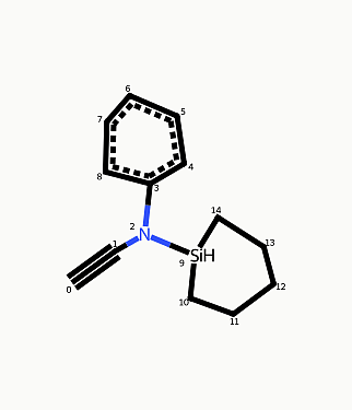 C#CN(c1ccccc1)[SiH]1CCCCC1